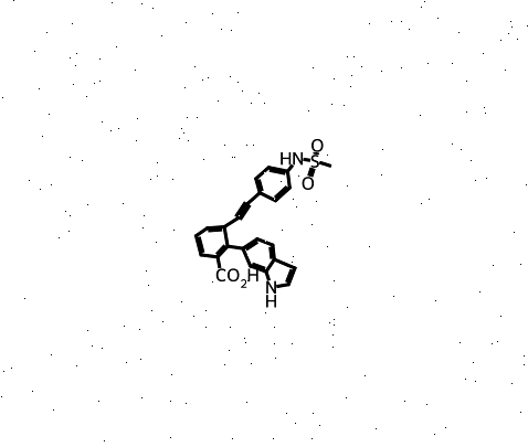 CS(=O)(=O)Nc1ccc(C#Cc2cccc(C(=O)O)c2-c2ccc3cc[nH]c3c2)cc1